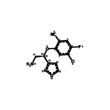 N#Cc1cc(F)c(Cl)cc1O[C@H](CN)c1ccon1